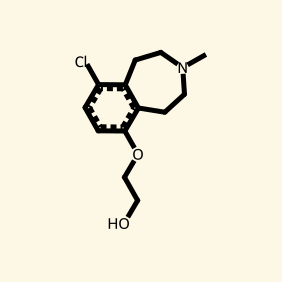 CN1CCc2c(Cl)ccc(OCCO)c2CC1